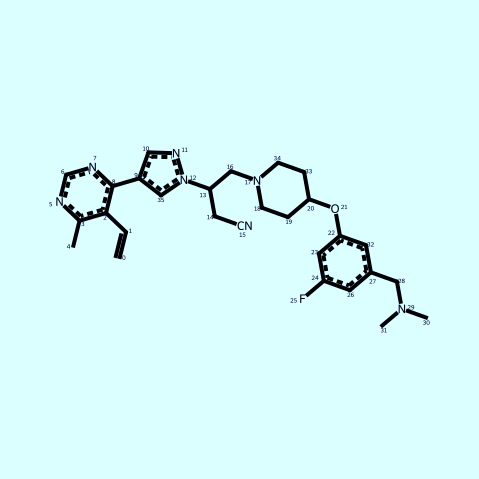 C=Cc1c(C)ncnc1-c1cnn(C(CC#N)CN2CCC(Oc3cc(F)cc(CN(C)C)c3)CC2)c1